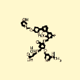 CNc1cncc(COc2cc(OCc3cc(F)cc(-c4cccc(-c5ccc(OCCN6CC[C@@H](O)C6)cc5)c4C)c3C)c(Cl)cc2CNC[C@@H](O)CC(=O)O)c1